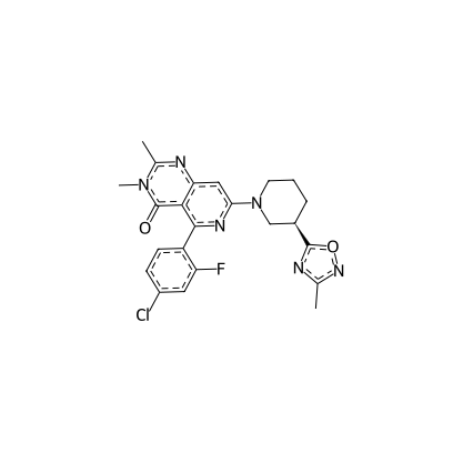 Cc1noc([C@@H]2CCCN(c3cc4nc(C)n(C)c(=O)c4c(-c4ccc(Cl)cc4F)n3)C2)n1